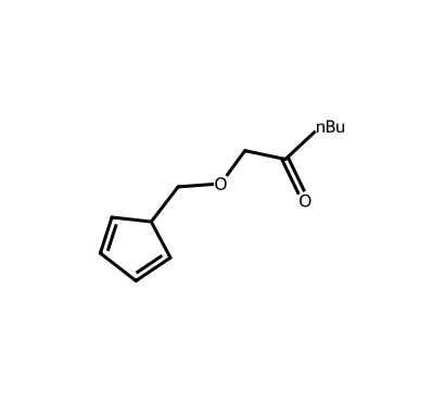 CCCCC(=O)COCC1C=CC=C1